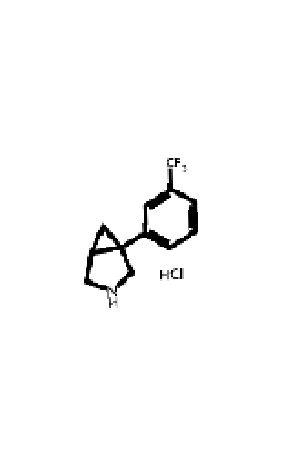 Cl.FC(F)(F)c1cccc(C23CNCC2C3)c1